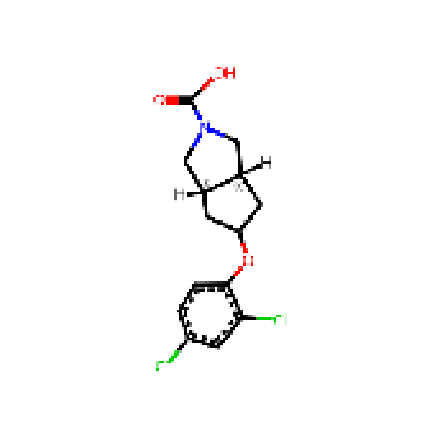 O=C(O)N1C[C@H]2CC(Oc3ccc(Cl)cc3Cl)C[C@H]2C1